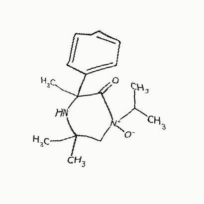 CC(C)[N+]1([O-])CC(C)(C)NC(C)(c2ccccc2)C1=O